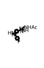 CC(=O)NCc1nc(-c2ccc3[nH]nc(-c4ccc(F)cc4)c3c2)n[nH]1